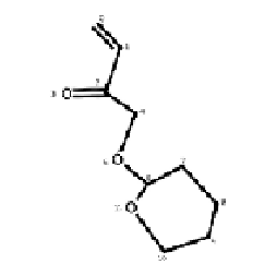 C=CC(=O)[CH]OC1CCCCO1